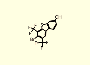 Oc1ccc2c(c1)sc1c(C(F)(F)F)c(Br)c(C(F)(F)F)cc12